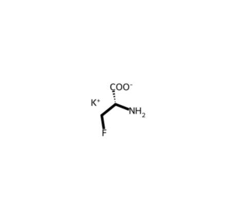 N[C@H](CF)C(=O)[O-].[K+]